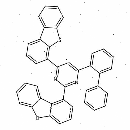 c1ccc(-c2ccccc2-c2cc(-c3cccc4c3sc3ccccc34)nc(-c3cccc4oc5ccccc5c34)n2)cc1